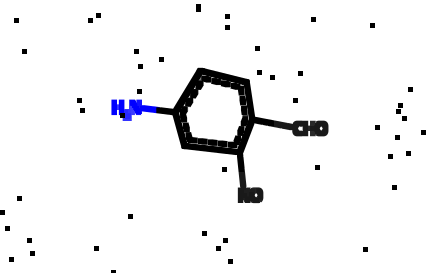 Nc1ccc(C=O)c(N=O)c1